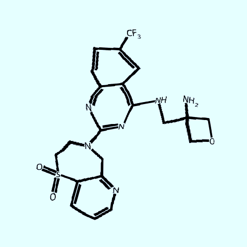 NC1(CNc2nc(N3CCS(=O)(=O)c4cccnc4C3)nc3ccc(C(F)(F)F)cc23)COC1